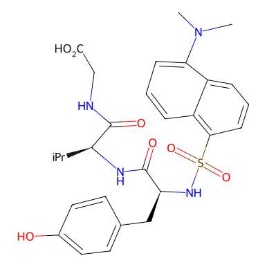 CC(C)[C@H](NC(=O)[C@H](Cc1ccc(O)cc1)NS(=O)(=O)c1cccc2c(N(C)C)cccc12)C(=O)NCC(=O)O